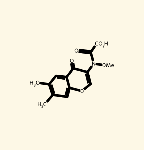 CON(C(=O)C(=O)O)c1coc2cc(C)c(C)cc2c1=O